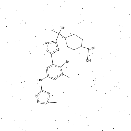 Cc1ccnc(Nc2cc(C)c(Br)c(-c3cnc(C(C)(O)C4CCC(C(=O)O)CC4)s3)c2)n1